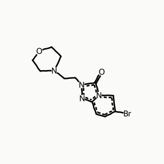 O=c1n(CCN2CCOCC2)nc2ccc(Br)cn12